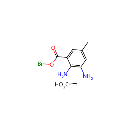 CC(=O)O.Cc1cc(N)c(N)c(C(=O)OBr)c1